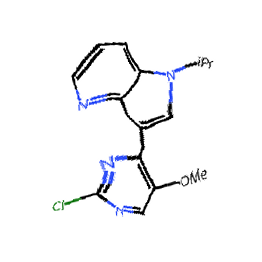 COc1cnc(Cl)nc1-c1cn(C(C)C)c2cccnc12